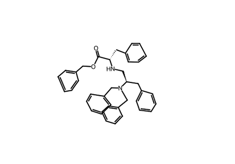 O=C(OCc1ccccc1)[C@H](Cc1ccccc1)NC[C@@H](Cc1ccccc1)N(Cc1ccccc1)Cc1ccccc1